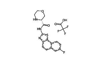 O=C(Nc1nc2ccc3cc(F)ccc3c2s1)[C@H]1COCCN1.O=C(O)C(F)(F)F